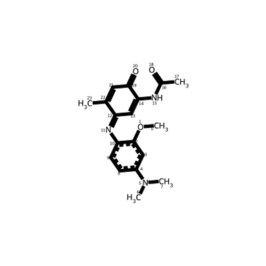 COc1cc(N(C)C)ccc1N=C1C=C(NC(C)=O)C(=O)C=C1C